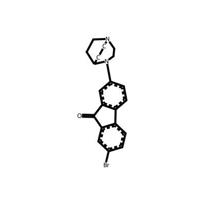 O=C1c2cc(Br)ccc2-c2ccc(N3CCN4CCC3CC4)cc21